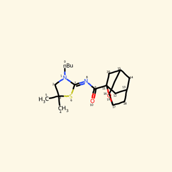 CCCCN1CC(C)(C)S/C1=N\C(=O)C12CC3CC(CC(C3)O1)C2